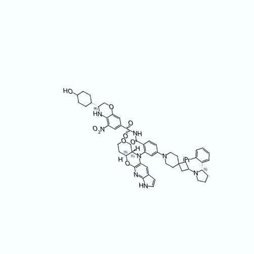 CC(C)c1ccccc1[C@@H]1CCCN1C1CC2(CCN(c3ccc(C(=O)NS(=O)(=O)c4cc5c(c([N+](=O)[O-])c4)N[C@H](C4CCC(O)CC4)CO5)c(N4c5cc6cc[nH]c6nc5O[C@H]5CCOC[C@@H]54)c3)CC2)C1